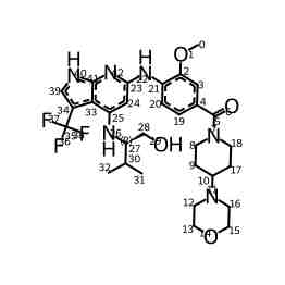 COc1cc(C(=O)N2CCC(N3CCOCC3)CC2)ccc1Nc1cc(N[C@@H](CO)C(C)C)c2c(C(F)(F)F)c[nH]c2n1